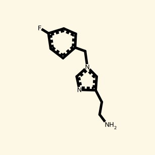 NCCc1cn(Cc2ccc(F)cc2)cn1